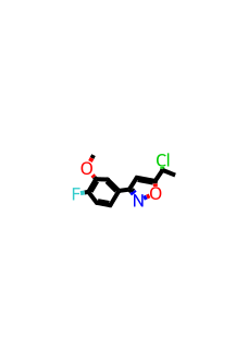 COc1cc(-c2cc(C(C)Cl)on2)ccc1F